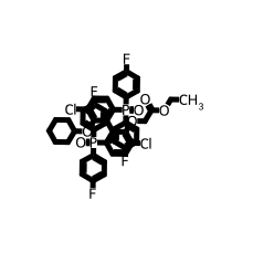 CCOC(=O)COc1c(Cl)ccc(P(=O)(c2ccc(F)cc2)c2ccc(F)cc2)c1-c1c(P(=O)(c2ccc(F)cc2)c2ccc(F)cc2)ccc(Cl)c1OC1CCCCC1